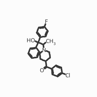 CC(N1CCC(C(=O)c2ccc(Cl)cc2)CC1)C(O)(c1ccccc1)c1ccc(F)cc1